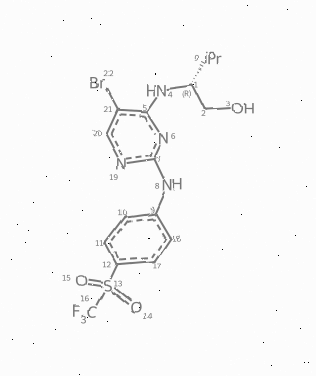 CC(C)[C@H](CO)Nc1nc(Nc2ccc(S(=O)(=O)C(F)(F)F)cc2)ncc1Br